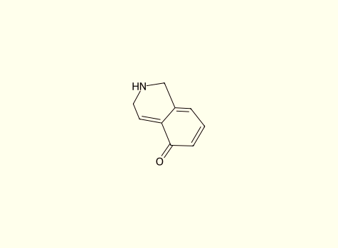 O=C1C=CC=C2CNCC=C12